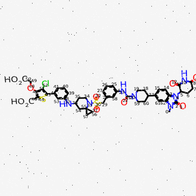 Cn1c(=O)n(C2CCC(=O)NC2=O)c2ccc(C3CCN(C(=O)Nc4cccc(CS(=O)(=O)N5CC[C@H](Nc6cccc(-c7sc(C(=O)O)c(OCC(=O)O)c7Cl)c6)CC56CC6)c4)CC3)cc21